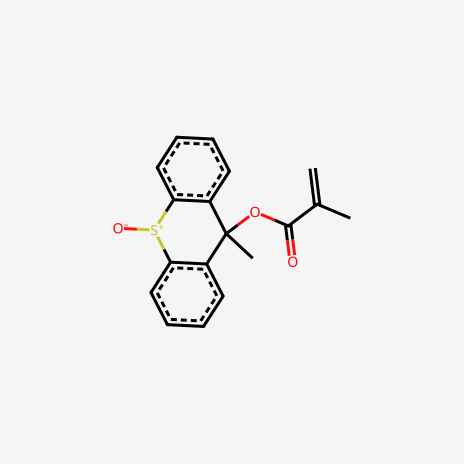 C=C(C)C(=O)OC1(C)c2ccccc2[S+]([O-])c2ccccc21